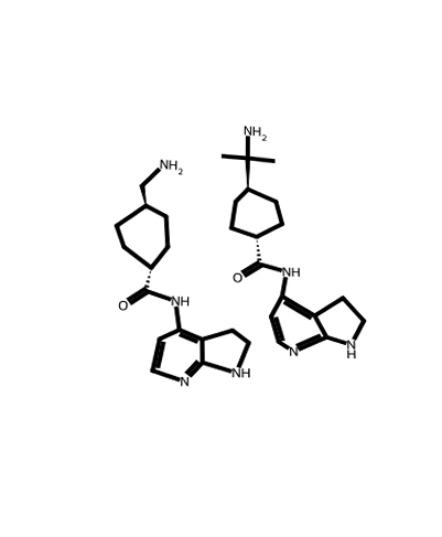 CC(C)(N)[C@H]1CC[C@H](C(=O)Nc2ccnc3c2CCN3)CC1.NC[C@H]1CC[C@H](C(=O)Nc2ccnc3c2CCN3)CC1